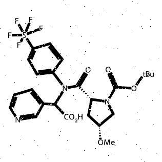 CO[C@@H]1C[C@H](C(=O)N(c2ccc(S(F)(F)(F)(F)F)cc2)C(C(=O)O)c2cccnc2)N(C(=O)OC(C)(C)C)C1